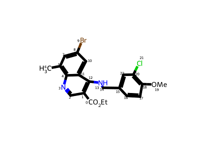 CCOC(=O)c1cnc2c(C)cc(Br)cc2c1NCc1ccc(OC)c(Cl)c1